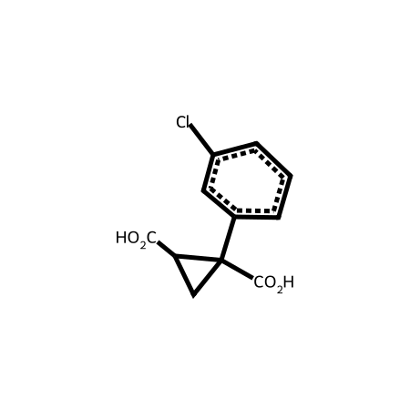 O=C(O)C1CC1(C(=O)O)c1cccc(Cl)c1